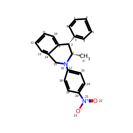 C[C@H]1[C@@H](c2ccccc2)c2ccccc2CN1c1ccc([N+](=O)[O-])cc1